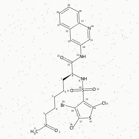 CC(=O)CCCCC[C@H](NS(=O)(=O)c1c(Cl)sc(Cl)c1Br)C(=O)Nc1cnc2ccccc2c1